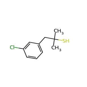 CC(C)(S)Cc1cccc(Cl)c1